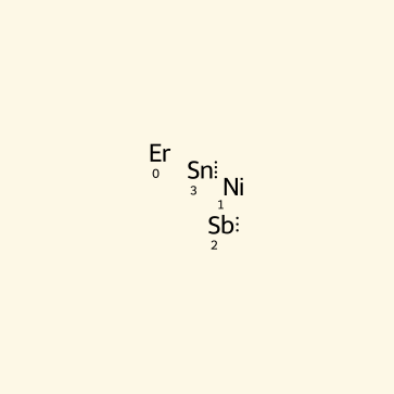 [Er].[Ni].[Sb].[Sn]